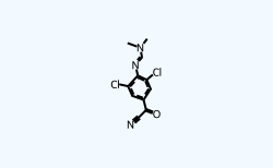 CN(C)/C=N/c1c(Cl)cc(C(=O)C#N)cc1Cl